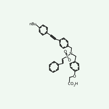 CCCCc1ccc(C#Cc2ccc(CN(Cc3ccc(OCC(=O)O)cc3)S(=O)(=O)/C=C/c3ccccc3)cc2)cc1